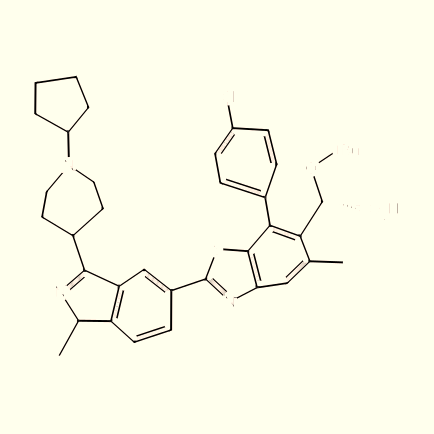 Cc1cc2nc(-c3ccc4c(c3)C(C3CCN(C5CCCC5)CC3)=NC4C)sc2c(-c2ccc(Cl)cc2)c1[C@H](OC(C)(C)C)C(=O)O